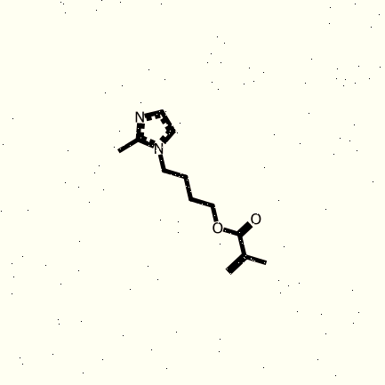 C=C(C)C(=O)OCCCCn1ccnc1C